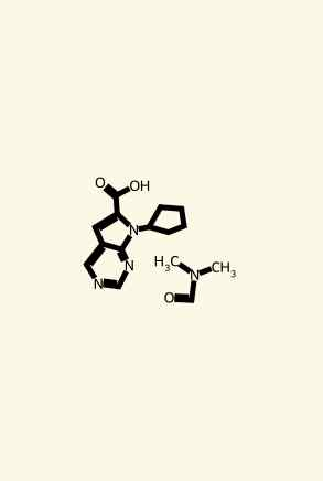 CN(C)C=O.O=C(O)c1cc2cncnc2n1C1CCCC1